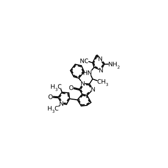 Cc1cc(-c2cccc3nc(C(C)Nc4nc(N)ncc4C#N)n(-c4ccccc4)c(=O)c23)cn(C)c1=O